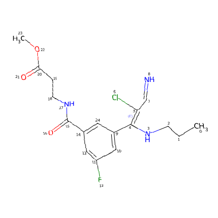 CCCN/C(=C(/Cl)C=N)c1cc(F)cc(C(=O)NCCC(=O)OC)c1